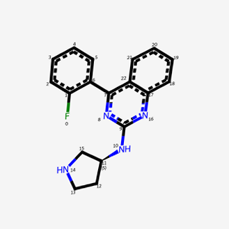 Fc1ccccc1-c1nc(N[C@H]2CCNC2)nc2ccccc12